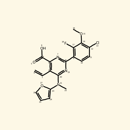 C=Cc1c(C(=O)O)nc(-c2ccc(Cl)c(OC)c2F)nc1N(C)c1ccco1